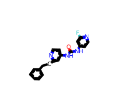 O=C(Nc1ccnc(F)c1)Nc1ccnc(CCc2ccccc2)c1